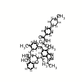 CC[C@@H]1CN(Cc2cc([C@@H](c3ccc4c(nnn4CC)c3C)C(C)(C)NC(=O)c3cnc(N4CCN(C)CC4)nc3)ccc2C)S(O)(O)c2ccccc2O1